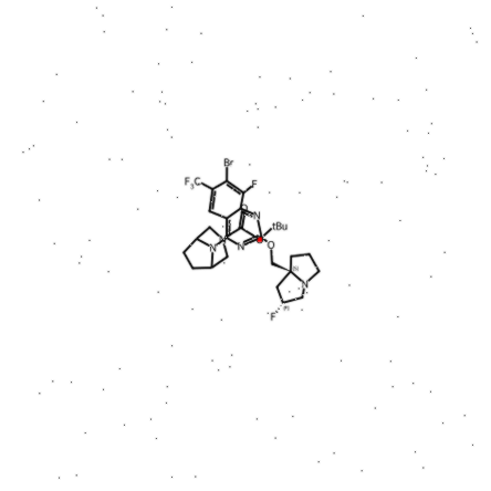 CC(C)(C)OC(=O)N1CC2CCC(C1)N2c1nc(OC[C@@]23CCCN2C[C@H](F)C3)nc2c(F)c(Br)c(C(F)(F)F)cc12